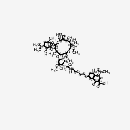 CC[C@H]1OC(=O)[C@H](C)[C@@H](O[C@H]2C[C@@](C)(OC)[C@@H](OC(=O)NCCOCCSc3ccc4c(c3)c(=O)c(C(=O)O)cn4N(C)C)[C@H](C)O2)[C@H](C)[C@@H](O[C@@H]2O[C@H](C)C[C@H](N(C)C)[C@H]2O)[C@](C)(O)C[C@@H](C)/C(=N\O)[C@@H](C)[C@@H](O)[C@]1(C)O